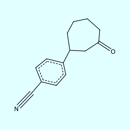 N#Cc1ccc(C2CCCCC(=O)C2)cc1